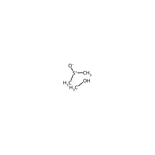 CO.C[S+](C)[O-]